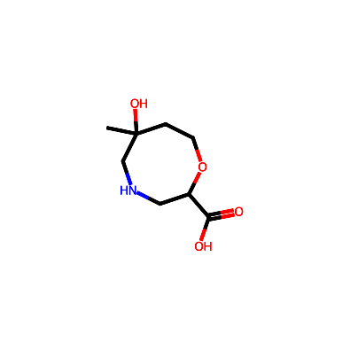 CC1(O)CCOC(C(=O)O)CNC1